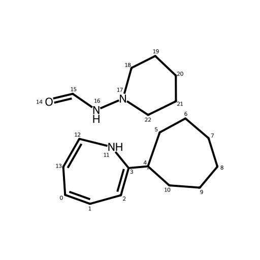 C1=CC=C([C]2CCCCCC2)NC=C1.O=CNN1CCCCC1